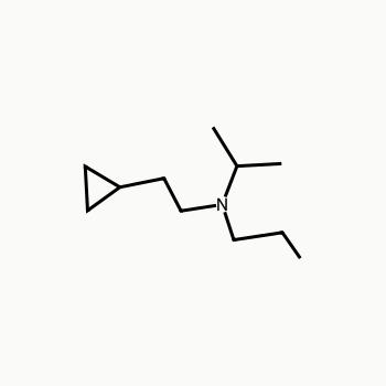 CCCN(CCC1CC1)C(C)C